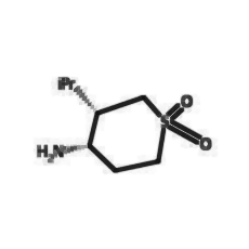 CC(C)[C@@H]1CS(=O)(=O)CC[C@@H]1N